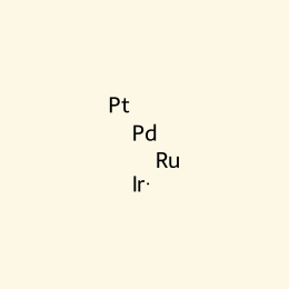 [Ir].[Pd].[Pt].[Ru]